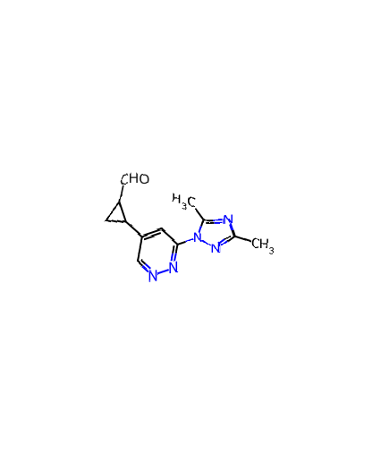 Cc1nc(C)n(-c2cc(C3CC3C=O)cnn2)n1